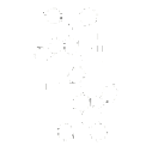 Cc1ccc(N(c2ccc(C)cc2C)c2cc3c(c4c2oc2ccccc24)-c2cc4c(cc2[Si]3(C)C)-c2c(cc(N(c3ccc(C)cc3)c3ccc(C)cc3C)c3oc5ccccc5c23)[Si]4(C)C)cc1